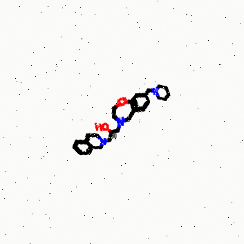 O[C@H](CN1CCc2ccccc2C1)CN1CCOc2cc(CN3CCCCC3)ccc2C1